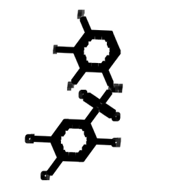 O=S(=O)(Nc1ccc(F)c(I)c1F)c1cc(Cl)c(Cl)cc1Cl